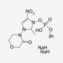 CC(C)OP(=O)(O)ON1C([N+](=O)[O-])=CN(N2CCOCC2=O)C1C.[NaH].[NaH]